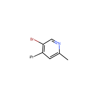 Cc1cc(C(C)C)c(Br)cn1